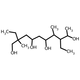 CCC(C(C)O)C(C)C(O)CC(O)CC(C)(CC)CO